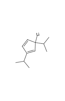 [Li][C]1(C(C)C)C=CC(C(C)C)=C1